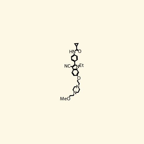 CCn1c(-c2ccc(NC(=O)C3CC3)cc2)c(C#N)c2ccc(OCCN3CCN(CCOC)CC3)cc21